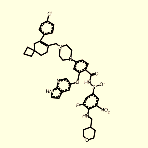 O=C(N[S+]([O-])c1cc(F)c(NCC2CCOCC2)c([N+](=O)[O-])c1)c1ccc(N2CCN(CC3=C(c4ccc(Cl)cc4)CC4(CCC4)CC3)CC2)cc1Oc1cnc2[nH]ccc2c1